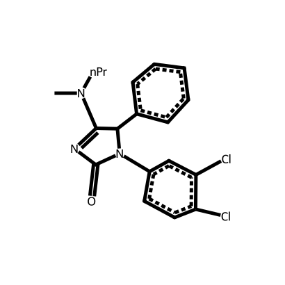 CCCN(C)C1=NC(=O)N(c2ccc(Cl)c(Cl)c2)C1c1ccccc1